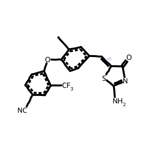 Cc1cc(/C=C2\SC(N)=NC2=O)ccc1Oc1ccc(C#N)cc1C(F)(F)F